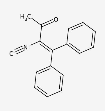 [C-]#[N+]C(C(C)=O)=C(c1ccccc1)c1ccccc1